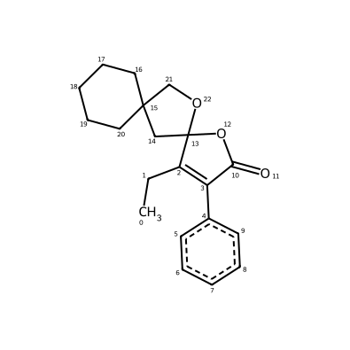 CCC1=C(c2ccccc2)C(=O)OC12CC1(CCCCC1)CO2